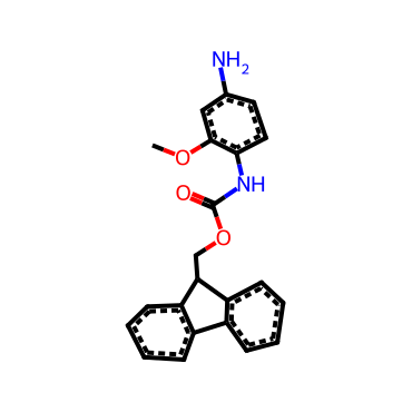 COc1cc(N)ccc1NC(=O)OCC1c2ccccc2-c2ccccc21